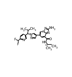 CC[C@H](C)NC(=O)c1cc(-c2cnn(C(c3ccc(C(F)F)nc3)C(C)C)c2)cn2nc(N)nc12